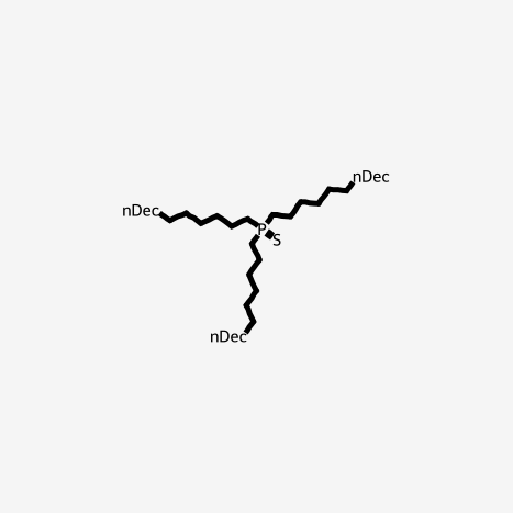 CCCCCCCCCCCCCCCCP(=S)(CCCCCCCCCCCCCCCC)CCCCCCCCCCCCCCCC